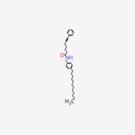 CCCCCCCCCCCCc1ccc(CNC(=O)CCCCC#Cc2ccccc2)cc1